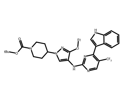 CCOc1nn(C2CCN(C(=O)OC(C)(C)C)CC2)cc1Nc1ncc(C(F)(F)F)c(-c2c[nH]c3ccccc23)n1